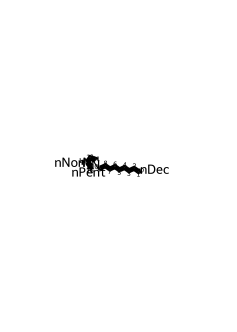 CCCCCCCCCCCCCCCCCCCn1cc[n+](CCCCCCCCC)c1CCCCC